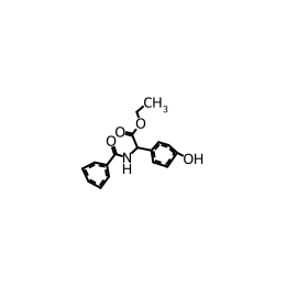 CCOC(=O)C(NC(=O)c1ccccc1)c1ccc(O)cc1